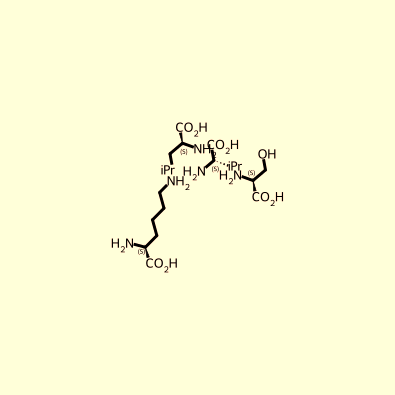 CC(C)C[C@H](N)C(=O)O.CC(C)[C@H](N)C(=O)O.NCCCC[C@H](N)C(=O)O.N[C@@H](CO)C(=O)O